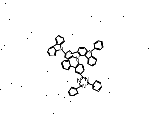 c1ccc(-c2nc(-c3ccccc3)nc(-c3ccc(-n4c5ccc(-n6c7ccccc7c7ccccc76)cc5c5ccc6c(c7ccccc7n6-c6ccccc6)c54)c(-c4ccccc4)c3)n2)cc1